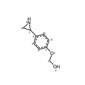 OCOc1ccc(C2CN2)cc1